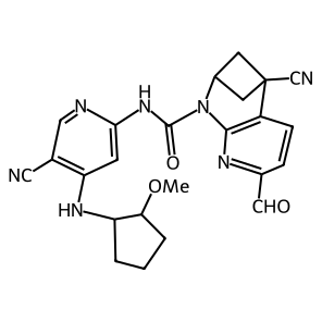 COC1CCCC1Nc1cc(NC(=O)N2c3nc(C=O)ccc3C3(C#N)CC2C3)ncc1C#N